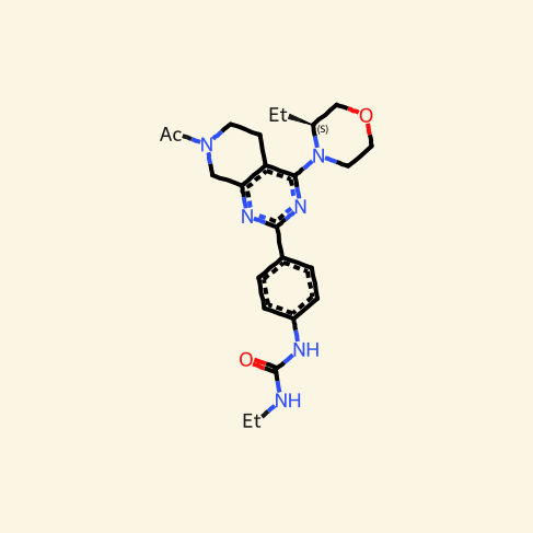 CCNC(=O)Nc1ccc(-c2nc3c(c(N4CCOC[C@@H]4CC)n2)CCN(C(C)=O)C3)cc1